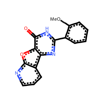 COc1ccccc1-c1nc2c(oc3ncccc32)c(=O)[nH]1